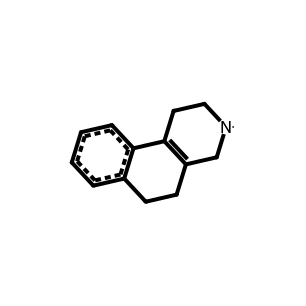 c1ccc2c(c1)CCC1=C2CC[N]C1